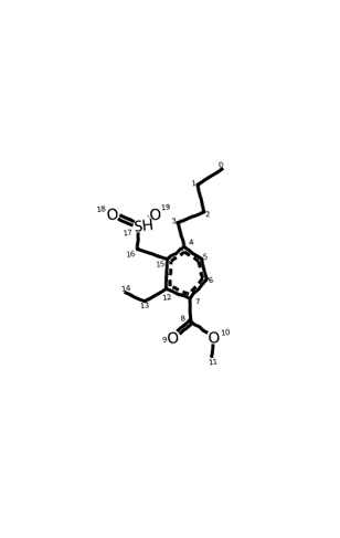 CCCCc1ccc(C(=O)OC)c(CC)c1C[SH](=O)=O